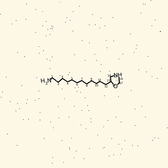 NCCCCCCCCCCCCC1CNCCO1